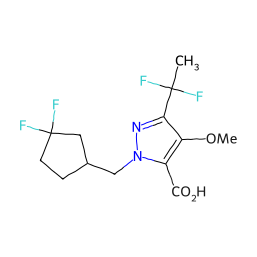 COc1c(C(C)(F)F)nn(CC2CCC(F)(F)C2)c1C(=O)O